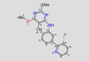 CCCCOc1nc(SC)nc(Nc2cccc(-c3ncccc3F)c2)c1C#N